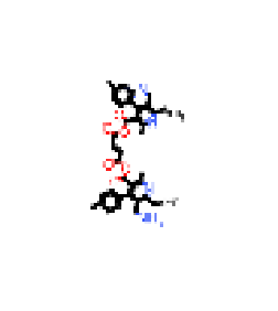 Cc1ccc(-c2c(CN)c(CC(C)C)nc(C)c2C(=O)OC(=O)/C=C/C(=O)OC(=O)c2c(C)nc(CC(C)C)c(CN)c2-c2ccc(C)cc2)cc1